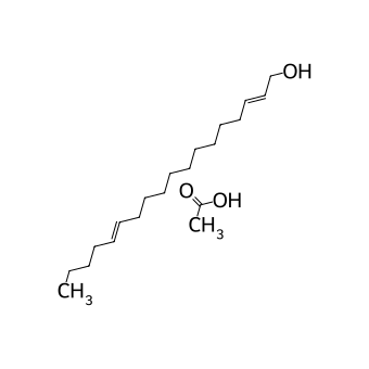 CC(=O)O.CCCCC=CCCCCCCCCCC=CCO